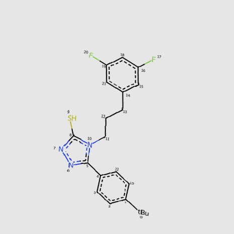 CC(C)(C)c1ccc(-c2nnc(S)n2CCCc2cc(F)cc(F)c2)cc1